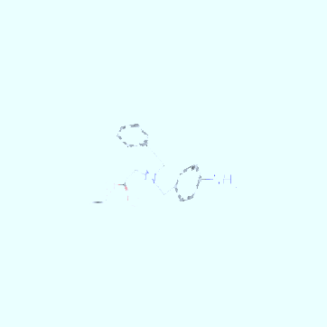 CCOC(=O)CN(Cc1ccccc1)Cc1ccc(N)cc1